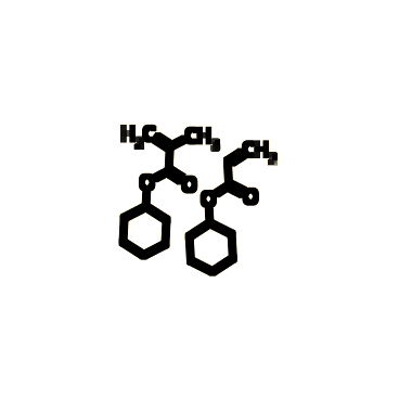 C=C(C)C(=O)OC1CCCCC1.C=CC(=O)OC1CCCCC1